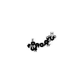 O=C1CCC(N2Cc3c(ccc(CN4CCN(c5cccc(-c6cnc7ccc(N8CCC[C@@H]8c8cccc(F)c8)nn67)n5)CC4)c3Br)C2=O)C(=O)N1